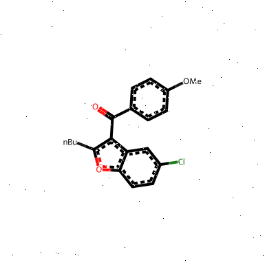 CCCCc1oc2ccc(Cl)cc2c1C(=O)c1ccc(OC)cc1